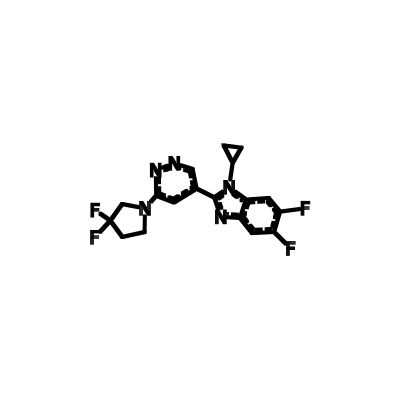 Fc1cc2nc(-c3cnnc(N4CCC(F)(F)C4)c3)n(C3CC3)c2cc1F